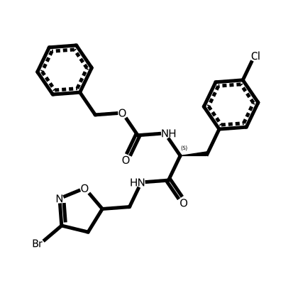 O=C(N[C@@H](Cc1ccc(Cl)cc1)C(=O)NCC1CC(Br)=NO1)OCc1ccccc1